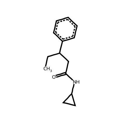 CCC(CC(=O)NC1CC1)c1ccccc1